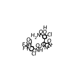 Cn1cnc2c(c(-c3cc(Cl)c(O)c(C(N)=O)c3)cn2CC(=O)Nc2cc(N3CCOCC3C(F)(F)F)ncc2Cl)c1=O